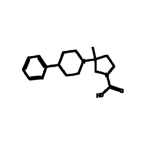 CC1(N2CCC(c3ccccc3)CC2)CCN(C(=O)O)C1